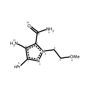 CCCc1nn(CCOC)c(C(N)=O)c1N